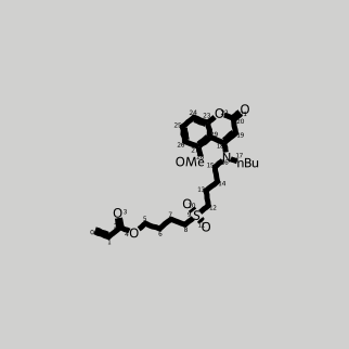 C=CC(=O)OCCCCS(=O)(=O)CCCCN(CCCC)c1cc(=O)oc2cccc(OC)c12